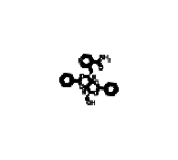 NC(=O)c1ccncc1C[C@H]1OC(c2ccccc2)O[C@H]2[C@H]1OC(c1ccccc1)O[C@@H]2CO